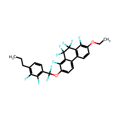 CCCc1ccc(C(F)(F)Oc2ccc3c(c2F)C(F)(F)C(F)(F)c2c-3ccc(OCC)c2F)c(F)c1F